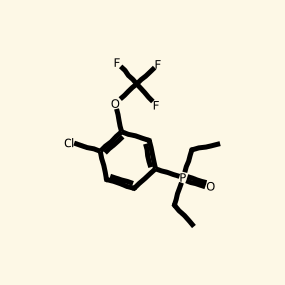 CCP(=O)(CC)c1ccc(Cl)c(OC(F)(F)F)c1